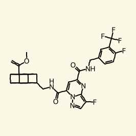 C=C(OC)C12C3C4C1C1C2C3C41CNC(=O)c1cc(C(=O)NCc2ccc(F)c(C(F)(F)F)c2)nc2c(F)cnn12